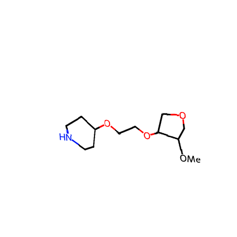 COC1COCC1OCCOC1CCNCC1